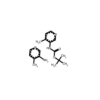 Cc1ccncc1N.Cc1ccncc1NC(=O)OC(C)(C)C